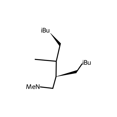 CCC(C)C[C@@H](CNC)C(C)C[C@H](C)CC